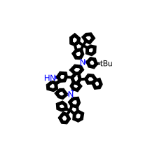 CC(C)(C)c1ccc(N(c2ccc3c(c2)C(c2ccccc2)(c2ccccc2)c2ccccc2-3)c2ccc3c(-c4ccc5[nH]c6ccccc6c5c4)c4cc(N(c5ccccc5)c5ccc6c(c5)C(c5ccccc5)(c5ccccc5)c5ccccc5-6)ccc4c(-c4ccc5ccccc5c4)c3c2)cc1